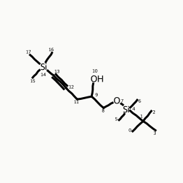 CC(C)(C)[Si](C)(C)OCC(O)CC#C[Si](C)(C)C